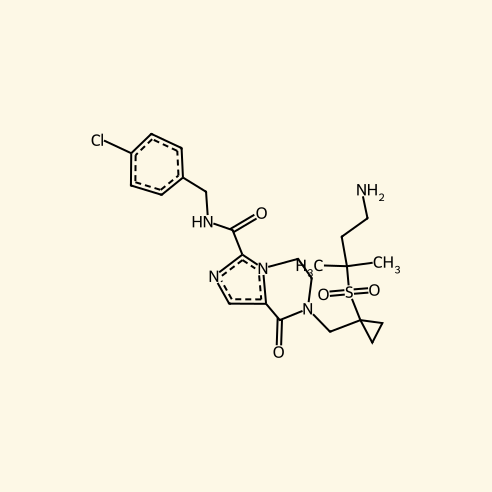 CC(C)(CCN)S(=O)(=O)C1(CN2CCn3c(cnc3C(=O)NCc3ccc(Cl)cc3)C2=O)CC1